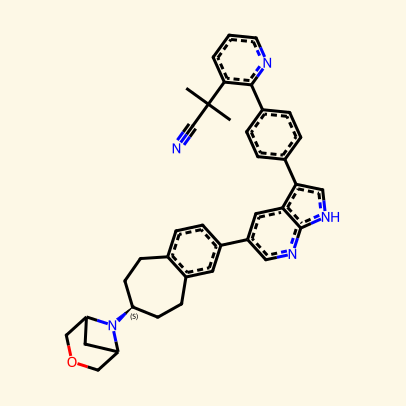 CC(C)(C#N)c1cccnc1-c1ccc(-c2c[nH]c3ncc(-c4ccc5c(c4)CC[C@@H](N4C6COCC4C6)CC5)cc23)cc1